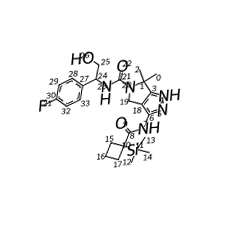 CC1(C)c2[nH]nc(NC(=O)C3([Si](C)(C)C)CCC3)c2CN1C(=O)NC(CO)c1ccc(F)cc1